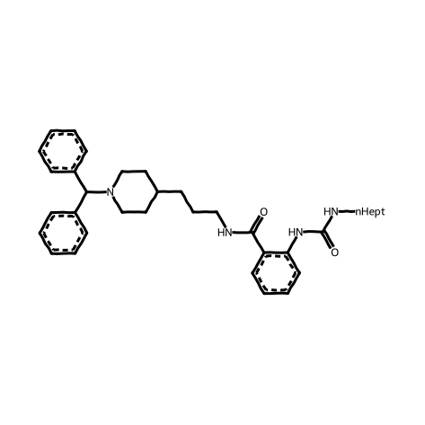 CCCCCCCNC(=O)Nc1ccccc1C(=O)NCCCC1CCN(C(c2ccccc2)c2ccccc2)CC1